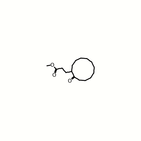 COC(=O)CCC1CCCCCCCCCCC1=O